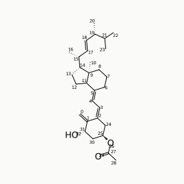 C=C1C(=CC=C2CCC[C@@]3(C)C2CC[C@@H]3[C@H](C)/C=C/[C@H](C)C(C)C)C[C@@H](OC(C)=O)C[C@@H]1O